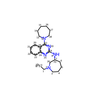 CC(C)CN1CCCC[C@H](Nc2nc(N3CCCCCC3)c3ccccc3n2)C1